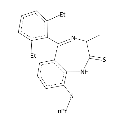 CCCSc1cccc2c1NC(=S)C(C)N=C2c1c(CC)cccc1CC